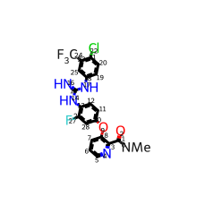 CNC(=O)c1ncccc1Oc1ccc(NC(=N)Nc2ccc(Cl)c(C(F)(F)F)c2)c(F)c1